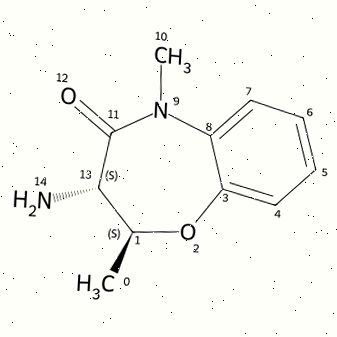 C[C@@H]1Oc2ccccc2N(C)C(=O)[C@H]1N